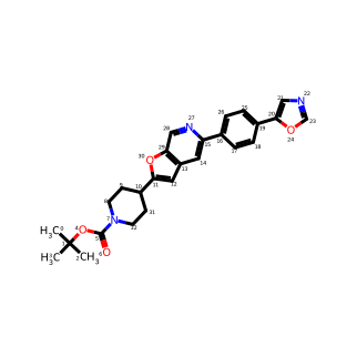 CC(C)(C)OC(=O)N1CCC(c2cc3cc(-c4ccc(-c5cnco5)cc4)ncc3o2)CC1